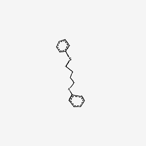 [CH](CC[CH]Sc1ccccc1)Sc1ccccc1